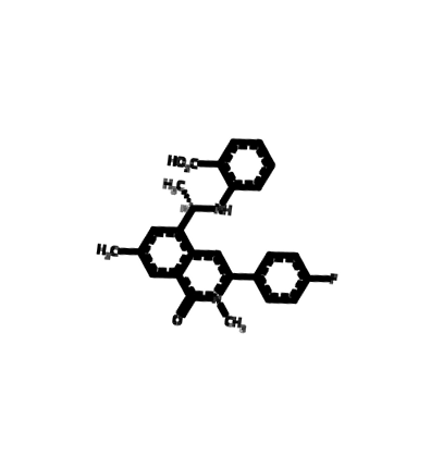 Cc1cc([C@H](C)Nc2ccccc2C(=O)O)c2cc(-c3ccc(F)cc3)n(C)c(=O)c2c1